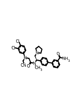 CN(C(=O)CN(CC#N)c1ccc(Cl)c(Cl)c1)[C@@H](CN1CCCC1)c1ccc(-c2cccc(C(N)=O)c2)cc1